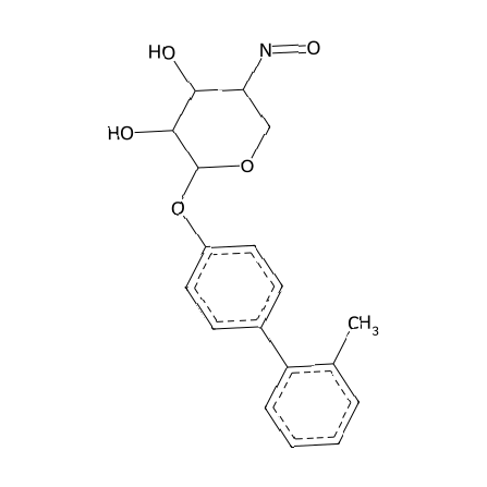 Cc1ccccc1-c1ccc(OC2OCC(N=O)C(O)C2O)cc1